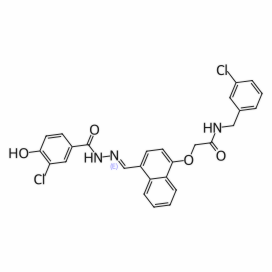 O=C(COc1ccc(/C=N/NC(=O)c2ccc(O)c(Cl)c2)c2ccccc12)NCc1cccc(Cl)c1